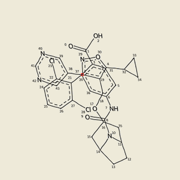 O=C(O)c1ccc(NC(=O)N2C3CCC2CC(OCc2c(-c4c(Cl)cccc4Cl)noc2C2CC2)C3)cc1-c1cncnc1